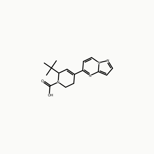 CC(C)(C)C1C=C(c2ccn3nccc3n2)CCN1C(=O)O